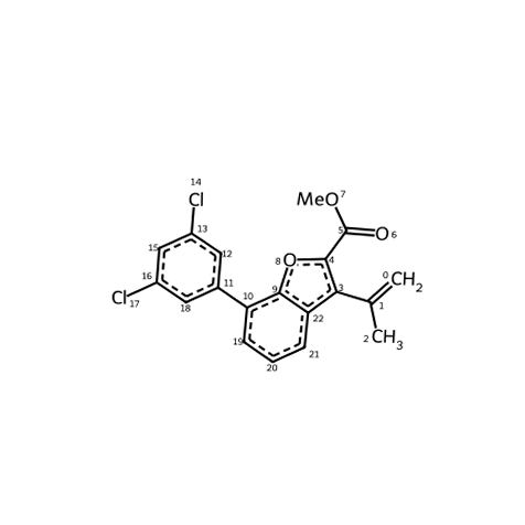 C=C(C)c1c(C(=O)OC)oc2c(-c3cc(Cl)cc(Cl)c3)cccc12